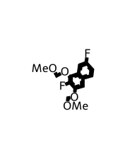 COCOc1cc2ccc(F)cc2c(OCOC)c1F